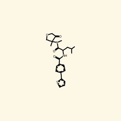 CC(C)CC(NC(=O)c1ccc(-c2cccs2)cc1)C(=O)N(C)C1(C)COCC1=O